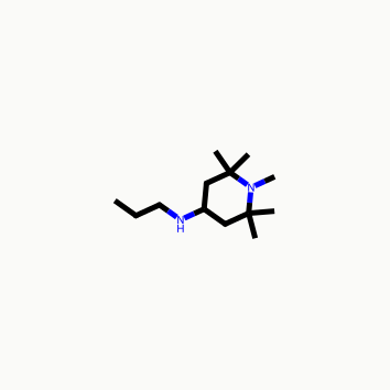 CCCNC1CC(C)(C)N(C)C(C)(C)C1